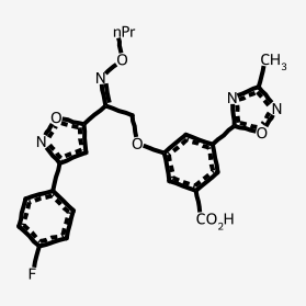 CCCO/N=C(\COc1cc(C(=O)O)cc(-c2nc(C)no2)c1)c1cc(-c2ccc(F)cc2)no1